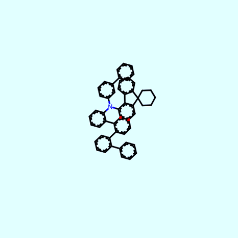 c1ccc(-c2cccc(N(c3ccccc3-c3ccccc3-c3ccccc3-c3ccccc3)c3cccc4c3-c3ccccc3C43CCCCC3)c2)cc1